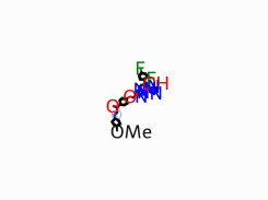 COc1ccc(/C=C/C(=O)c2ccc(OCc3cn(CC(O)(Cn4cncn4)c4ccc(F)cc4F)nn3)cc2)cc1